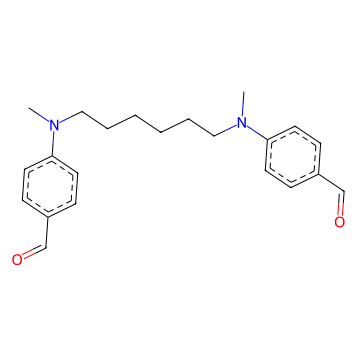 CN(CCCCCCN(C)c1ccc(C=O)cc1)c1ccc(C=O)cc1